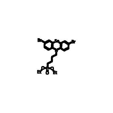 CCOP(=O)(CCCCN1c2ccc(Br)cc2[Se]c2cc(Br)ccc21)OCC